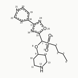 CCCCS(=O)(=O)C(OC1CCNCC1)c1nc(-c2ccncc2)no1